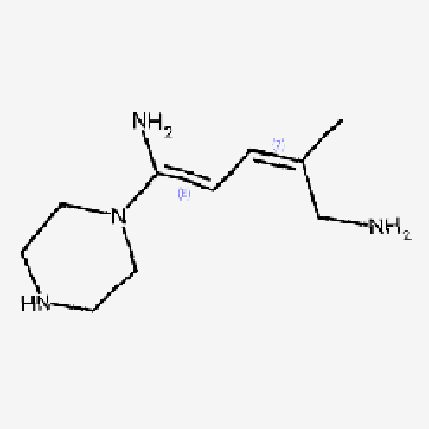 C/C(=C/C=C(\N)N1CCNCC1)CN